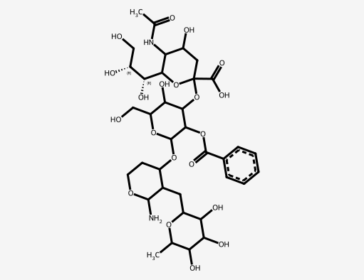 CC(=O)NC1C(O)CC(OC2C(O)C(CO)OC(OC3CCOC(N)C3CC3OC(C)C(O)C(O)C3O)C2OC(=O)c2ccccc2)(C(=O)O)OC1[C@H](O)[C@H](O)CO